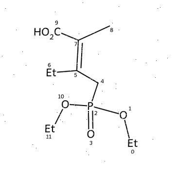 CCOP(=O)(C/C(CC)=C(\C)C(=O)O)OCC